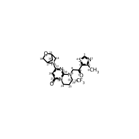 Cc1ncsc1C(=O)CN1c2nc(N3CC4CC3CO4)cc(=O)n2CC[C@H]1C(F)(F)F